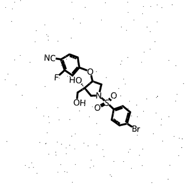 N#Cc1ccc(OC2CN(S(=O)(=O)c3ccc(Br)cc3)C[C@@]2(O)CO)cc1F